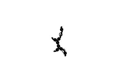 C=Cc1ccc(CCCOCCCc2ccc(N(c3ccc(CCC)cc3)c3ccc(-c4ccc(N(c5ccc(CCC)cc5)c5ccc(COCc6ccc(C=C)cc6)cc5)cc4)cc3)cc2)cc1